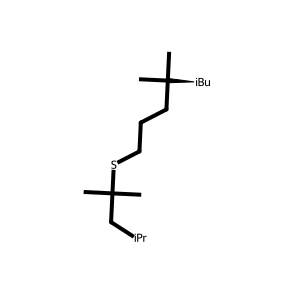 CC[C@H](C)C(C)(C)CCCSC(C)(C)CC(C)C